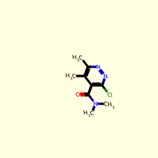 Cc1nnc(Cl)c(C(=O)N(C)C)c1C